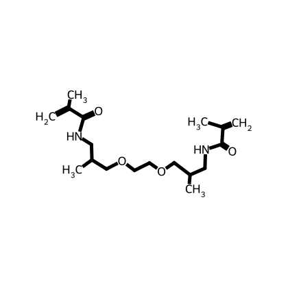 C=C(C)C(=O)NCC(C)COCCOCC(C)CNC(=O)C(=C)C